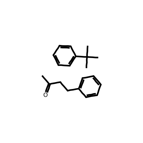 CC(=O)CCc1ccccc1.CC(C)(C)c1ccccc1